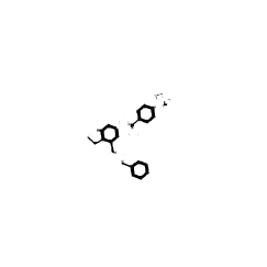 O=C(Oc1cc2c(c(C(=O)OCc3ccccc3)c1)CCO2)c1ccc([N+](=O)[O-])cc1